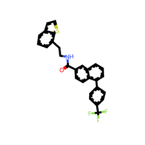 O=C(NCCc1cccc2ccsc12)c1ccc2c(-c3ccc(C(F)(F)F)cc3)cccc2c1